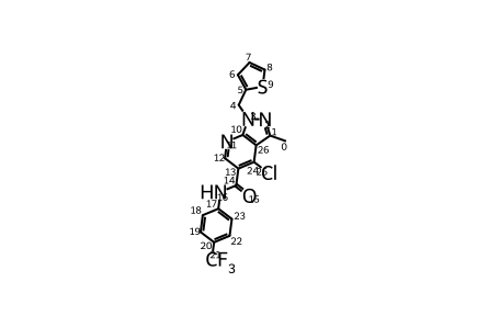 Cc1nn(Cc2cccs2)c2ncc(C(=O)Nc3ccc(C(F)(F)F)cc3)c(Cl)c12